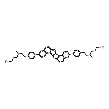 CC(C)CCCC(C)CCc1ccc(-c2ccc3c(ccc4sc5c(sc6ccc7cc(-c8ccc(CCC(C)CCCC(C)C)cc8)ccc7c65)c43)c2)cc1